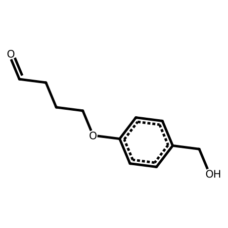 O=CCCCOc1ccc(CO)cc1